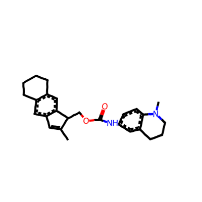 CC1=Cc2cc3c(cc2C1COC(=O)Nc1ccc2c(c1)CCCN2C)CCCC3